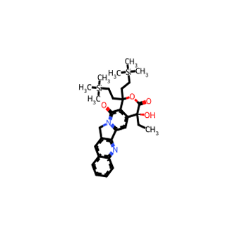 CC[C@@]1(O)C(=O)OC(CC[Si](C)(C)C)(CC[Si](C)(C)C)c2c1cc1n(c2=O)Cc2cc3ccccc3nc2-1